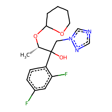 C[C@H](OC1CCCCO1)C(O)(Cn1cncn1)c1ccc(F)cc1F